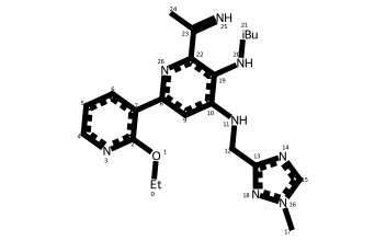 CCOc1ncccc1-c1cc(NCc2ncn(C)n2)c(NC(C)CC)c(C(C)=N)n1